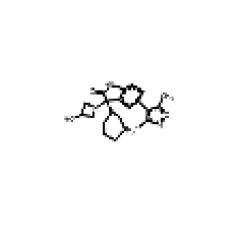 Cc1noc(C)c1-c1ccc2c(c1)C(C1CCCCC1)(N1CC(O)C1)C(=O)N2